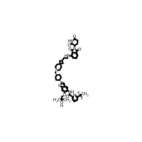 CC(C)(O)COc1cc2nn([C@H]3CC[C@H](CN4CCC5(CC4)CC(CCNc4cccc6c4C(=O)N(C4CCC(=O)NC4=O)C6=O)C5)CC3)cc2cc1NC(=O)c1cccc(C(C)(F)F)n1